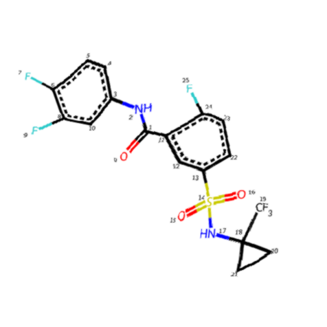 O=C(Nc1ccc(F)c(F)c1)c1cc(S(=O)(=O)NC2(C(F)(F)F)CC2)ccc1F